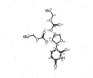 CC(C)(C)COC(=O)O[C@H]1[C@H](n2ccc(=O)[nH]c2=O)OC[C@H]1OC(=O)OCC(C)(C)C